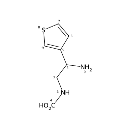 NC(CNC(=O)O)c1ccsc1